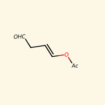 CC(=O)O/C=C/CC=O